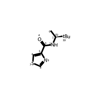 C[C@H](NC(=O)c1cscn1)C(C)(C)C